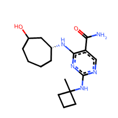 CC1(Nc2ncc(C(N)=O)c(N[C@@H]3CCCCC(O)C3)n2)CCC1